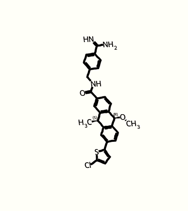 CO[C@@H]1c2ccc(C(=O)NCc3ccc(C(=N)N)cc3)cc2[C@H](C)c2cc(-c3ccc(Cl)s3)ccc21